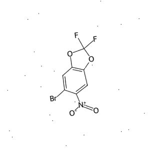 O=[N+]([O-])c1cc2c(cc1Br)OC(F)(F)O2